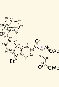 CCn1c2ccc(C(=O)/C(CCC(=O)OC)=N/OC(C)=O)cc2c2cc(C(=O)C34CC5CC(CC(C5)C3)C4)ccc21